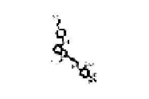 COc1cc(S(C)(=O)=O)ccc1NCC#Cc1cc2c(NC3CCN(CCC#N)CC3)cccc2n1CC(F)(F)F